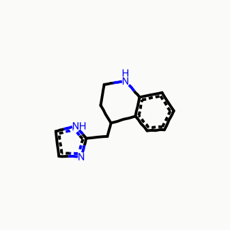 c1ccc2c(c1)NCCC2Cc1ncc[nH]1